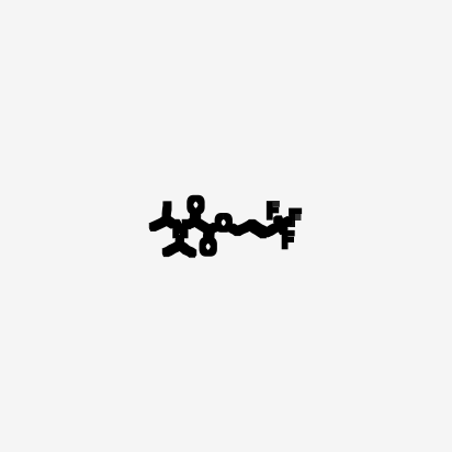 CC(C)N(C(=O)C(=O)OC/C=C/C(F)(F)F)C(C)C